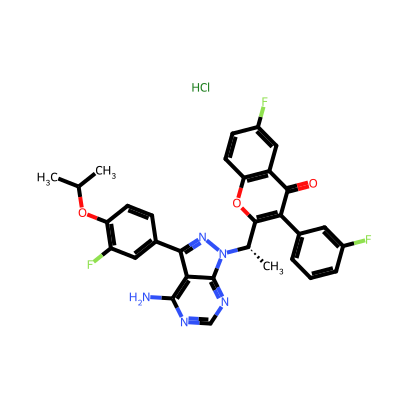 CC(C)Oc1ccc(-c2nn([C@@H](C)c3oc4ccc(F)cc4c(=O)c3-c3cccc(F)c3)c3ncnc(N)c23)cc1F.Cl